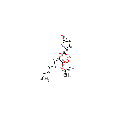 CCCCCCC(OC(=O)[C@@H]1CCC(=O)N1)C(=O)OC(C)C